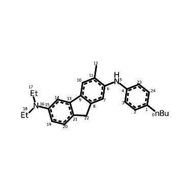 CCCCc1ccc(Nc2cc3c(cc2C)-c2cc(N(CC)CC)ccc2C3)cc1